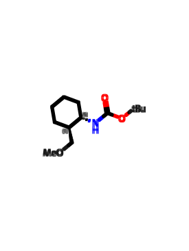 COC[C@H]1CCCC[C@@H]1NC(=O)OC(C)(C)C